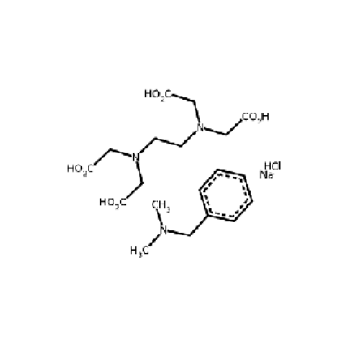 CN(C)Cc1ccccc1.Cl.O=C(O)CN(CCN(CC(=O)O)CC(=O)O)CC(=O)O.[Na]